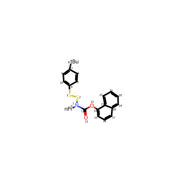 CCCN(SSc1ccc(C(C)(C)C)cc1)C(=O)Oc1cccc2ccccc12